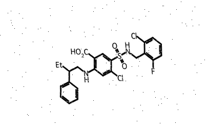 CCC(CNc1cc(Cl)c(S(=O)(=O)NCc2c(F)cccc2Cl)cc1C(=O)O)c1ccccc1